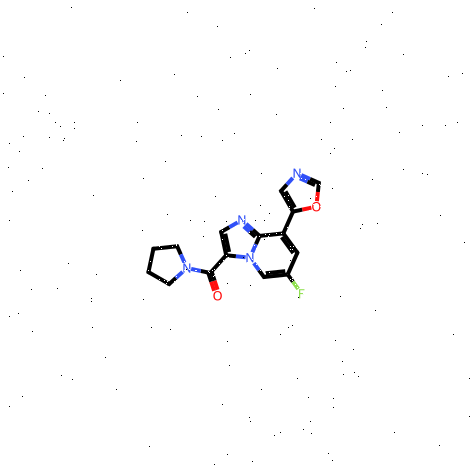 O=C(c1cnc2c(-c3cnco3)cc(F)cn12)N1CCCC1